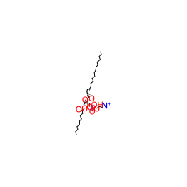 CCCCCCCCCCCCCCCCCC(=O)O[C@H](COC(=O)CCCCCCCCC)COP(=O)(O)OCC[N+](C)(C)C